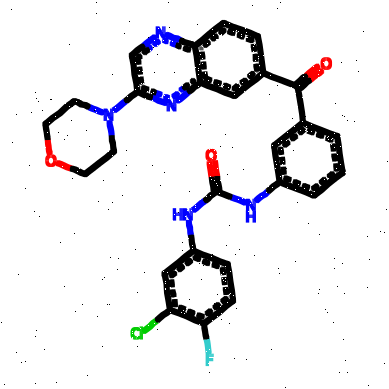 O=C(Nc1cccc(C(=O)c2ccc3ncc(N4CCOCC4)nc3c2)c1)Nc1ccc(F)c(Cl)c1